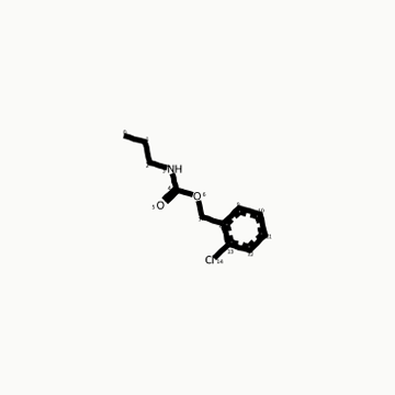 CC[CH]NC(=O)OCc1ccccc1Cl